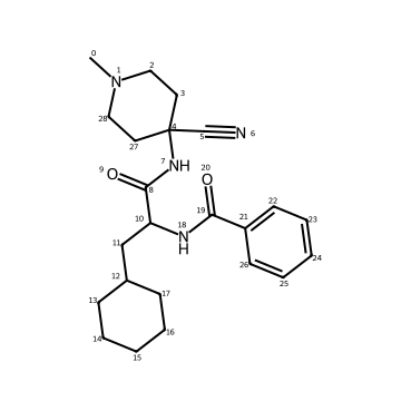 CN1CCC(C#N)(NC(=O)C(CC2CCCCC2)NC(=O)c2ccccc2)CC1